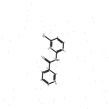 O=C(Nc1nccc(Cl)n1)c1cccnc1